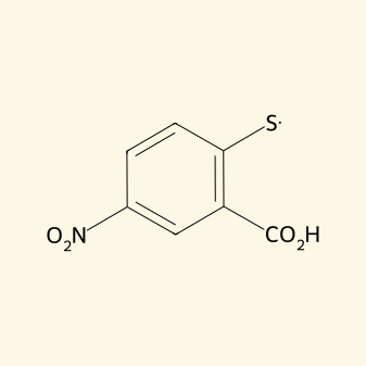 O=C(O)c1cc([N+](=O)[O-])ccc1[S]